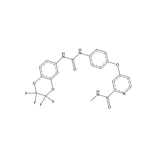 CNC(=O)c1cc(Oc2ccc(NC(=O)Nc3ccc4c(c3)OC(F)(F)C(F)(F)O4)cc2)ccn1